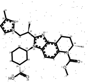 COC(=O)N1c2ccc3c(nc([C@H](C)Cn4ccc(C)n4)n3[C@@H]3CCC[C@@H](C(=O)O)C3)c2CC[C@@H]1C